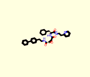 O=C(N[C@@H](CC1CCCCC1)C(=O)NCCc1ccccn1)C1O[C@@H]1C(=O)NCCc1ccc(-c2ccccc2)cc1